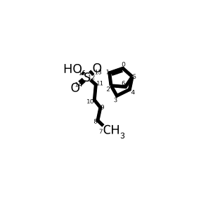 C1=CC2CCC1C2.CCCCCS(=O)(=O)O